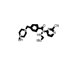 CCCN1CCN(Cc2ccc(C(=O)N(NCC(C)(C)C)c3ccnc(C#N)n3)cc2)CC1